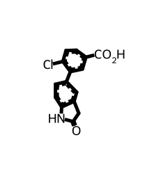 O=C1Cc2cc(-c3cc(C(=O)O)ccc3Cl)ccc2N1